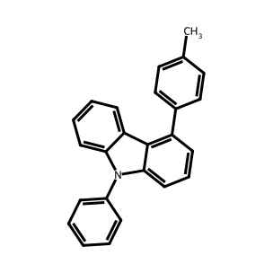 Cc1ccc(-c2cccc3c2c2ccccc2n3-c2ccccc2)cc1